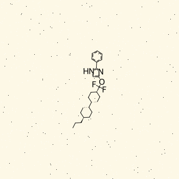 CCC[C@H]1CC[C@H]([C@H]2CC[C@H](C(F)(F)Oc3c[nH]c(-c4ccccc4)n3)CC2)CC1